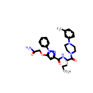 NC(=O)COc1cc(C(=O)N[C@@H](CCC(=O)O)C(=O)N2CCN(c3cccc(C(F)(F)F)c3)CC2)nn1-c1ccccc1